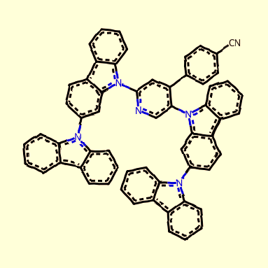 N#Cc1ccc(-c2cc(-n3c4ccccc4c4ccc(-n5c6ccccc6c6ccccc65)cc43)ncc2-n2c3ccccc3c3ccc(-n4c5ccccc5c5ccccc54)cc32)cc1